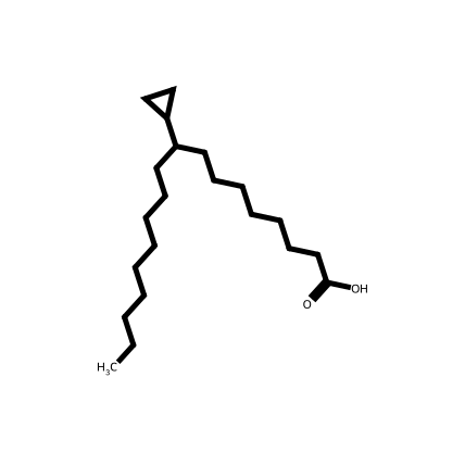 CCCCCCCCCC(CCCCCCCC(=O)O)C1CC1